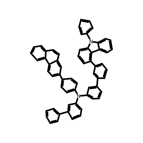 c1ccc(-c2cccc(N(c3ccc(-c4ccc5c(ccc6ccccc65)c4)cc3)c3cccc(-c4cccc(-c5cccc6c5c5ccccc5n6-c5ccccc5)c4)c3)c2)cc1